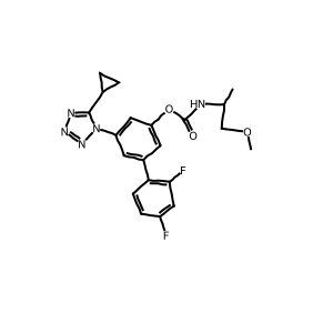 COCC(C)NC(=O)Oc1cc(-c2ccc(F)cc2F)cc(-n2nnnc2C2CC2)c1